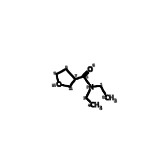 CCN(CC)C(=O)C1CCOC1